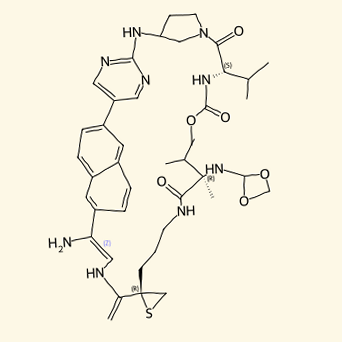 C=C(N/C=C(\N)c1ccc2cc(-c3cnc(NC4CCN(C(=O)[C@@H](NC(=O)OC)C(C)C)C4)nc3)ccc2c1)[C@]1(CCCNC(=O)[C@](C)(NC2OCO2)C(C)C)CS1